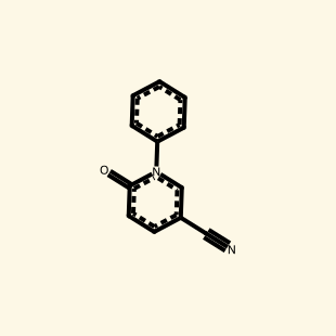 N#Cc1ccc(=O)n(-c2ccccc2)c1